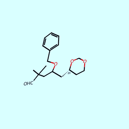 CC(C)(C=O)CC(C[C@H]1CCOCO1)OCc1ccccc1